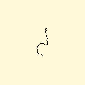 CC/C=C\C/C=C\C/C=C\C/C=C\CCCC[C]=O